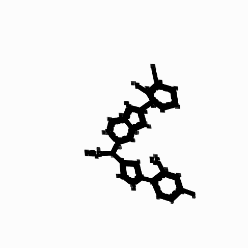 CCOC(=O)C(c1cc(-c2ccc(C)cc2C(F)(F)F)no1)n1cc2nc(-c3cccc(F)c3F)nc-2cn1